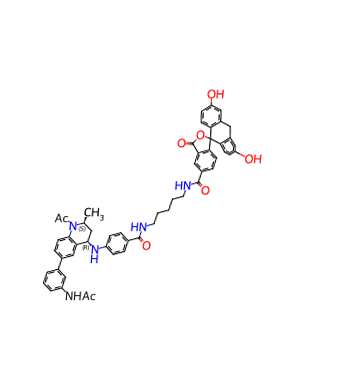 CC(=O)Nc1cccc(-c2ccc3c(c2)[C@H](Nc2ccc(C(=O)NCCCCCNC(=O)c4ccc5c(c4)C(=O)OC54c5ccc(O)cc5Cc5cc(O)ccc54)cc2)C[C@H](C)N3C(C)=O)c1